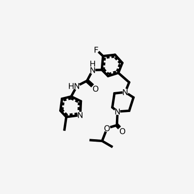 Cc1ccc(NC(=O)Nc2cc(CN3CCN(C(=O)OC(C)C)CC3)ccc2F)cn1